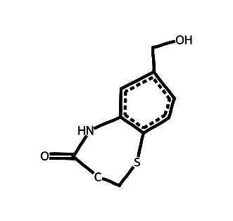 O=C1CCSc2ccc(CO)cc2N1